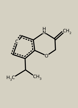 C=C1COc2c(cccc2C(C)C)N1